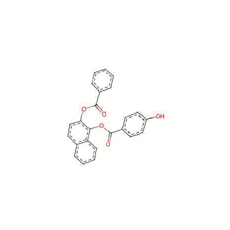 O=C(Oc1ccc2ccccc2c1OC(=O)c1ccc(O)cc1)c1ccccc1